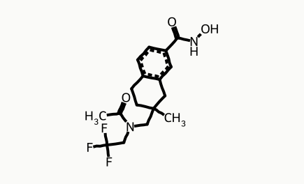 CC(=O)N(CC(F)(F)F)CC1(C)CCc2ccc(C(=O)NO)cc2C1